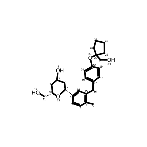 Cc1ccc([C@H]2CC(O)C[C@@H](CO)O2)cc1Cc1ccc(OC2(CO)CCCC2)cc1